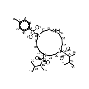 Cc1ccc(S(=O)(=O)N2CCCN(S(=O)(=O)[C@@H](C)C(C)C)CCN(S(=O)(=O)[C@@H](C)C(C)C)CCCNCC2)cc1